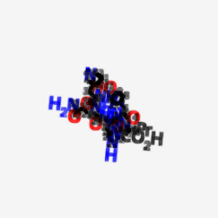 CC(C)[C@H](NC(=O)[C@H](Cc1ccc(O)cc1)NC(=O)[C@H](Cc1c[nH]cn1)NC(=O)[C@H](CCC(N)=O)NC(=O)[C@@H](N)Cc1cccnc1)C(=O)O